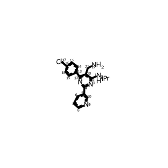 CC(C)Nc1nc(-c2cccnc2)nc(-c2ccc(Cl)cc2)c1CN